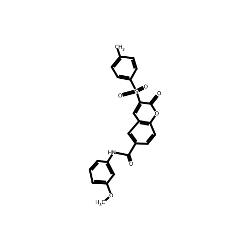 COc1cccc(NC(=O)c2ccc3oc(=O)c(S(=O)(=O)c4ccc(C)cc4)cc3c2)c1